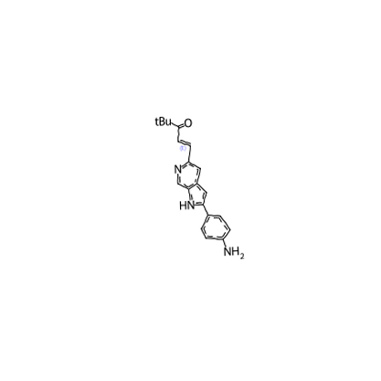 CC(C)(C)C(=O)/C=C/c1cc2cc(-c3ccc(N)cc3)[nH]c2cn1